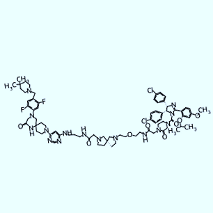 COc1ccc(C2=N[C@@H](c3ccc(Cl)cc3)[C@@H](c3ccc(Cl)cc3)N2C(=O)N2CCN(CC(=O)NCCOCCN3CC[C@@]4(CCN(CC(=O)NCCCNc5cc(N6CCC7(CC6)CN(c6cc(F)c(CN8CCC(C)(C)CC8)cc6F)CC(=O)N7)ncn5)C4)C3)C(=O)C2)c(OC(C)C)c1